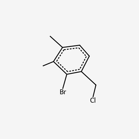 Cc1ccc(CCl)c(Br)c1C